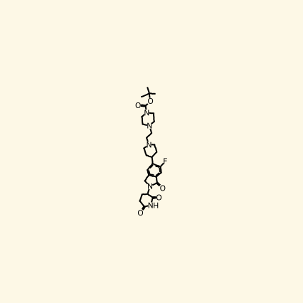 CC(C)(C)OC(=O)N1CCN(CCN2CCC(c3cc4c(cc3F)C(=O)N(C3CCC(=O)NC3=O)C4)CC2)CC1